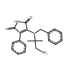 CC(C)(CN)N(Cc1ccccc1)C1=C(c2ccccc2)C(=O)NC1=O